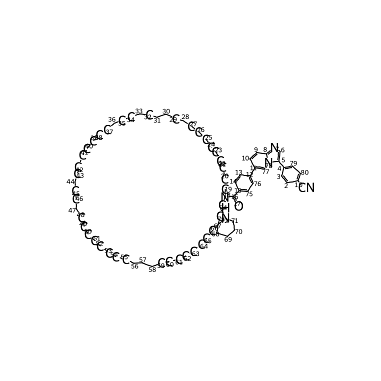 N#Cc1ccc(-c2cnc3ccc(-c4ccc(C(=O)N5CCCCCCCCCCCCCCCCCCCCCCCCCCCCCCCCCCCCCCCCCCCCCCCCC6(CCCCN6)CC5)cc4)cn23)cc1